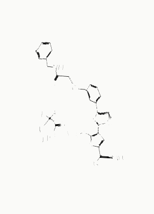 CSc1sc(C(=N)N)cc1-c1nc(-c2cccc(OCC(=O)NCc3ccccc3)c2)cs1.O=C(O)C(F)(F)F